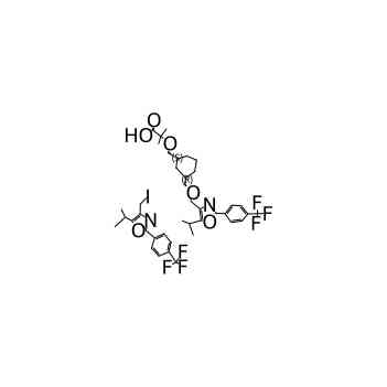 CC(C)c1oc(-c2ccc(C(F)(F)F)cc2)nc1CI.CC(C)c1oc(-c2ccc(C(F)(F)F)cc2)nc1COC[C@@H]1CCC[C@H](COC(C)(C)C(=O)O)C1